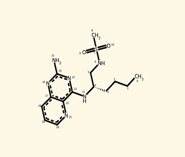 CCCC[C@@H](CNS(C)(=O)=O)Nc1nc(N)nc2cccnc12